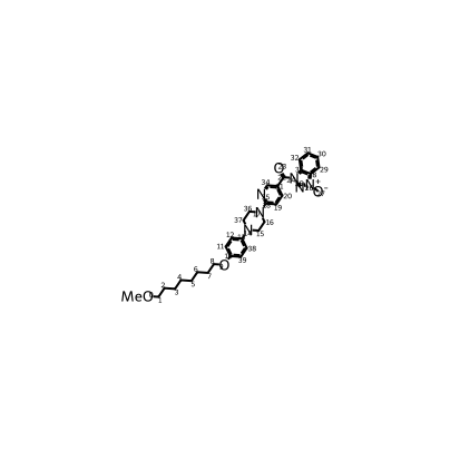 COCCCCCCCCOc1ccc(N2CCN(c3ccc(C(=O)n4n[n+]([O-])c5ccccc54)cn3)CC2)cc1